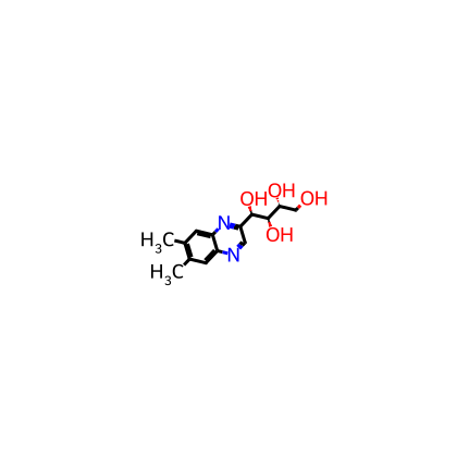 Cc1cc2ncc([C@@H](O)[C@H](O)[C@H](O)CO)nc2cc1C